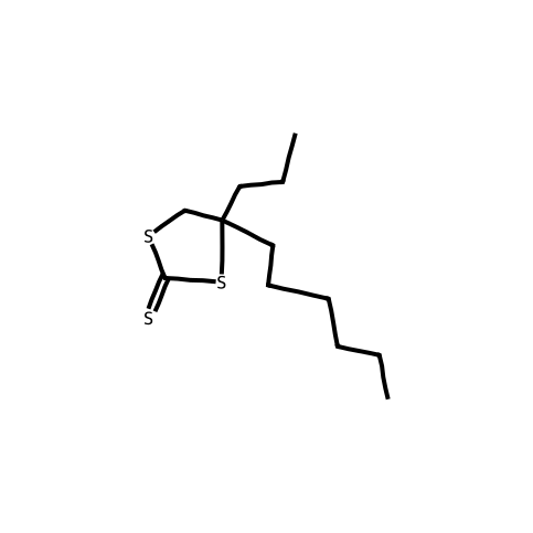 CCCCCCC1(CCC)CSC(=S)S1